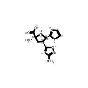 Cc1noc([C@H]2C[C@@](C)(C(=O)O)N[C@H]2c2nccs2)n1